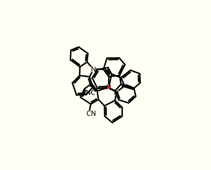 N#Cc1cccc(-n2c3ccccc3c3cccc(-n4c5ccccc5c5ccccc54)c32)c1-c1ccccc1-n1c2ccccc2c2cccc(C#N)c21